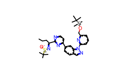 CCCC(=N[S@+]([O-])C(C)(C)C)c1nccc(-c2ccc3cnn(-c4cccc(CO[Si](C)(C)C(C)(C)C)n4)c3c2)n1